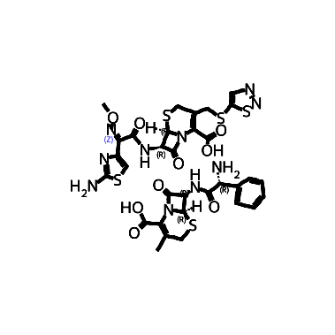 CC1=C(C(=O)O)N2C(=O)[C@@H](NC(=O)[C@H](N)c3ccccc3)[C@H]2SC1.CO/N=C(\C(=O)N[C@@H]1C(=O)N2C(C(=O)O)=C(CSc3cnns3)CS[C@H]12)c1csc(N)n1